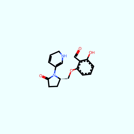 O=Cc1c(O)cccc1OC[C@@H]1CCC(=O)N1C1=CNCC=C1